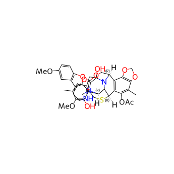 COc1ccc2oc3c(c2c1)CCN[C@]31CS[C@@H]2c3c(OC(C)=O)c(C)c4c(c3[C@H](COC1=O)N1C2[C@H]2c3c(cc(C)c(OC)c3O)CC1(O)CN2C)OCO4